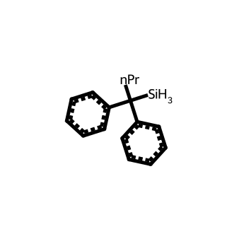 CCCC([SiH3])(c1ccccc1)c1ccccc1